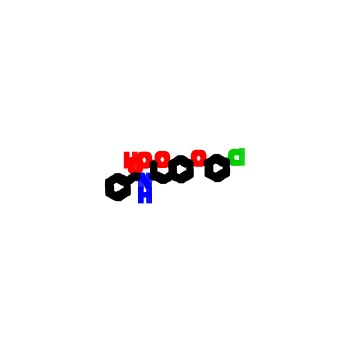 O=C(O)/C(=C\c1ccc(Oc2cccc(Cl)c2)cc1)NC(=O)c1ccccc1